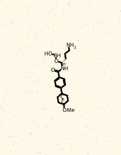 COC12CCC(c3ccc(C(=O)N[C@@H](CCCN)OBO)cc3)(CC1)CC2